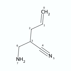 C=CCC(C#N)CN